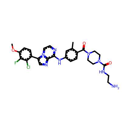 COc1ccc(-c2cnc3c(Nc4ccc(C(=O)N5CCN(C(=O)NCCN)CC5)c(C)c4)nccn23)c(Cl)c1F